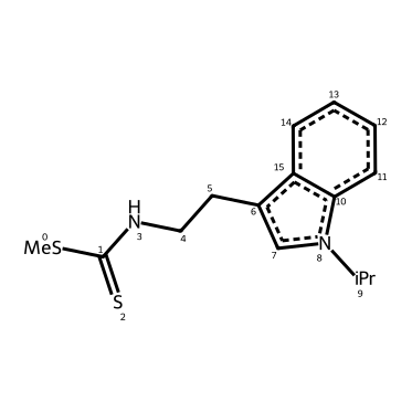 CSC(=S)NCCc1cn(C(C)C)c2ccccc12